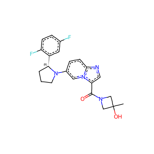 CC1(O)CN(C(=O)c2cnc3ccc(N4CCC[C@@H]4c4cc(F)ccc4F)cn23)C1